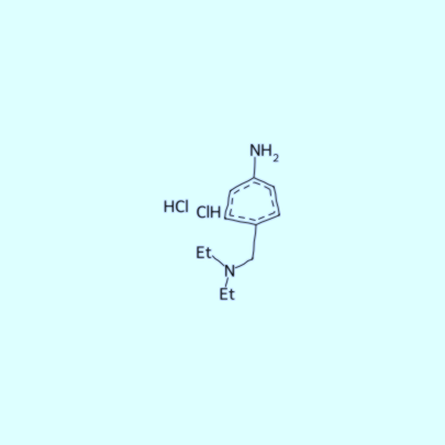 CCN(CC)Cc1ccc(N)cc1.Cl.Cl